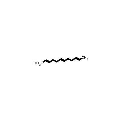 C/C=C/CC/C=C/CC/C=C/C(=O)O